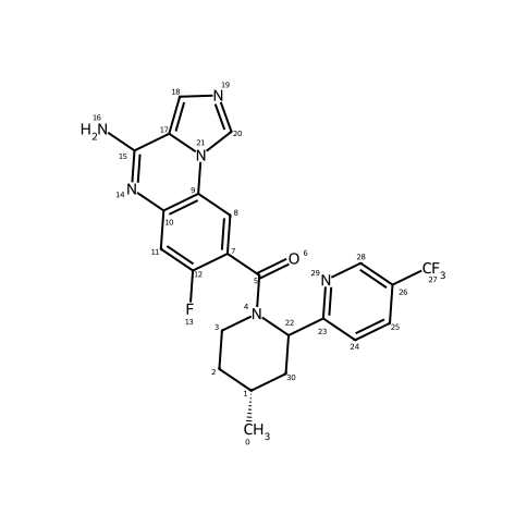 C[C@@H]1CCN(C(=O)c2cc3c(cc2F)nc(N)c2cncn23)C(c2ccc(C(F)(F)F)cn2)C1